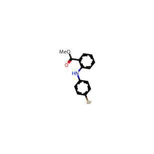 COC(=O)c1ccccc1Nc1ccc(Br)cc1